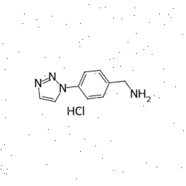 Cl.NCc1ccc(-n2ccnn2)cc1